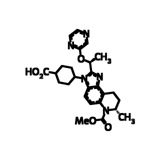 COC(=O)N1c2ccc3c(nc([C@H](C)Oc4cnccn4)n3C3CCC(C(=O)O)CC3)c2CC[C@@H]1C